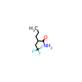 CCCC(CC(F)(F)F)C(N)=O